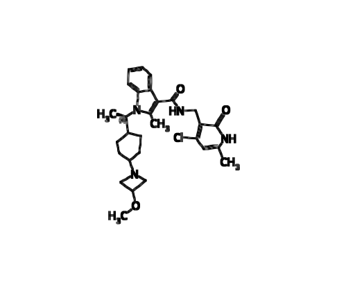 COC1CN(C2CCC([C@@H](C)n3c(C)c(C(=O)NCc4c(Cl)cc(C)[nH]c4=O)c4ccccc43)CC2)C1